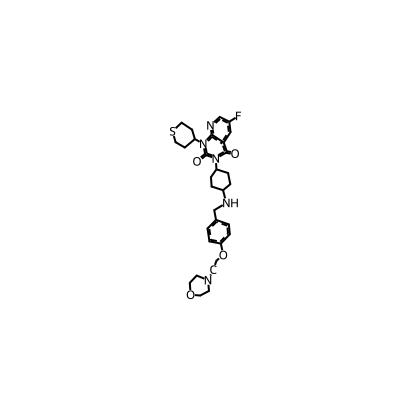 O=c1c2cc(F)cnc2n(C2CCSCC2)c(=O)n1C1CCC(NCc2ccc(OCCN3CCOCC3)cc2)CC1